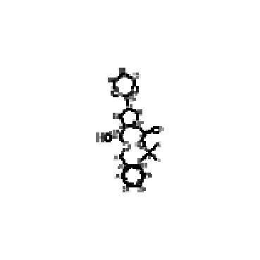 CC(C)(C)OC(=O)N1CC(C2OCCCO2)CC1[C@H](O)OCc1ccccc1